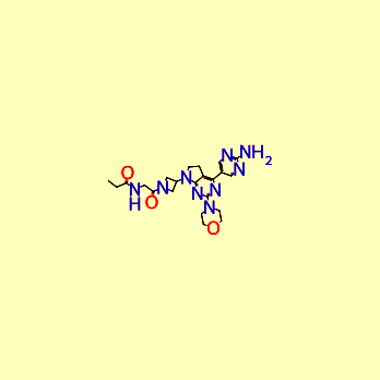 CCC(=O)NCC(=O)N1CC(N2CCc3c(-c4cnc(N)nc4)nc(N4CCOCC4)nc32)C1